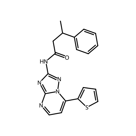 CC(CC(=O)Nc1nc2nccc(-c3cccs3)n2n1)c1ccccc1